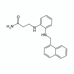 NC(=O)CCNc1ccccc1NCc1cccc2ccccc12